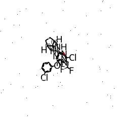 FC(F)Cn1nc(N[C@@H]2[C@@H]3CC[C@H]2CN(c2cnnc(Cl)c2)C3)nc1Oc1cccc(Cl)c1